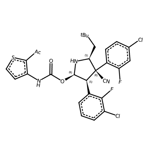 CC(=O)c1sccc1NC(=O)O[C@H]1N[C@@H](CC(C)(C)C)[C@](C#N)(c2ccc(Cl)cc2F)[C@H]1c1cccc(Cl)c1F